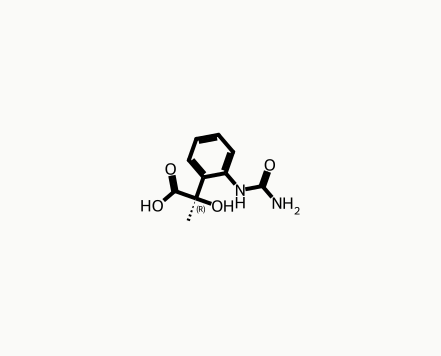 C[C@](O)(C(=O)O)c1ccccc1NC(N)=O